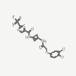 O=C(COc1ccc(Cl)c(Cl)c1)NC12CC(NC(=O)c3cnc(C(F)(F)F)s3)(C1)C2